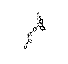 O=C(NCCN1CCCC1)c1csc(C2CCN(C(=O)c3ccccc3-c3ccc(C(F)(F)F)cc3)CC2)n1